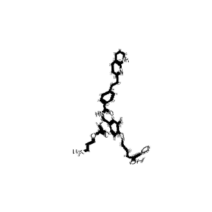 CCCCOC(=O)C[C@H](NC(=O)c1ccc(CCc2ccc3c(n2)NCCC3)cc1)c1ccc(OCCCC(=O)O)c(F)c1